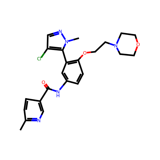 Cc1ccc(C(=O)Nc2ccc(OCCN3CCOCC3)c(-c3c(Cl)cnn3C)c2)cn1